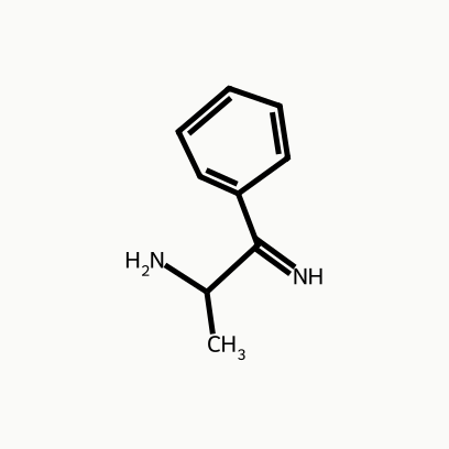 CC(N)C(=N)c1ccccc1